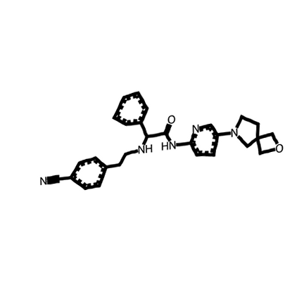 N#Cc1ccc(CCNC(C(=O)Nc2ccc(N3CCC4(COC4)C3)cn2)c2ccccc2)cc1